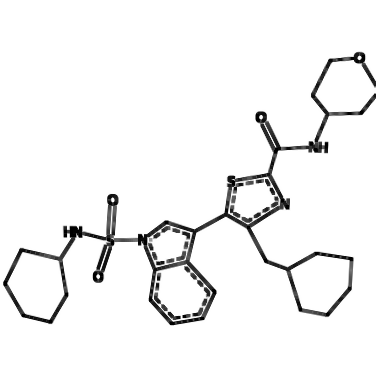 O=C(NC1CCOCC1)c1nc(CC2CCCCC2)c(-c2cn(S(=O)(=O)NC3CCCCC3)c3ccccc23)s1